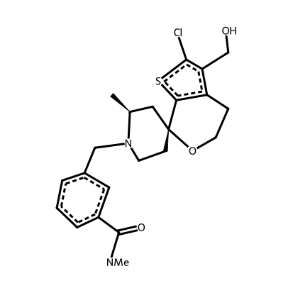 CNC(=O)c1cccc(CN2CC[C@]3(C[C@@H]2C)OCCc2c3sc(Cl)c2CO)c1